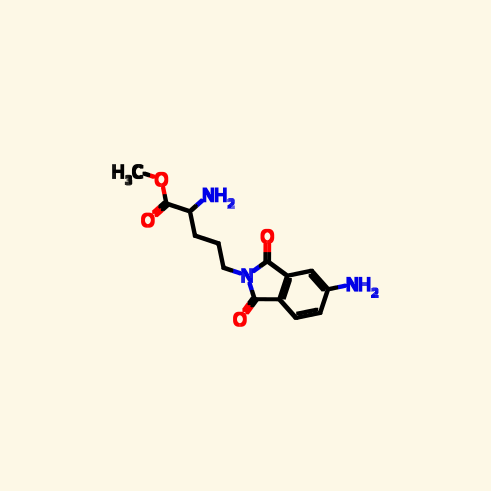 COC(=O)C(N)CCCN1C(=O)c2ccc(N)cc2C1=O